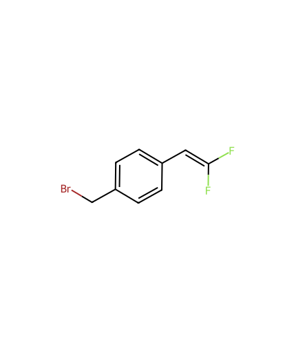 FC(F)=Cc1ccc(CBr)cc1